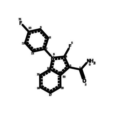 NC(=O)c1c(F)n(-c2ccc(F)cc2)c2ccccc12